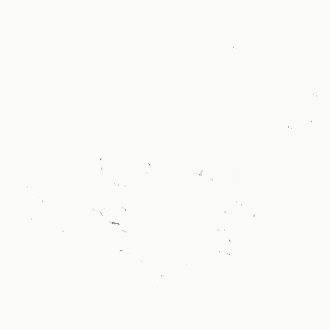 CC[C@H]1OC(=O)[C@H](C)C(=O)[C@@H](C)[C@@H](O[C@@H]2O[C@H](C)CC(N(C)C)C2O)[C@](C)(OC)C[C@@H](C)CN[C@H](C)[C@H]2N(CCCCn3cc(-c4cccc(N)c4)nn3)C(=O)O[C@]12C